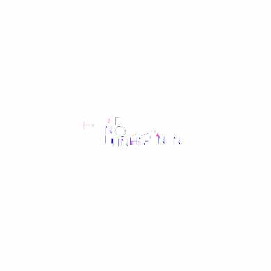 Cc1c(C=C2C(=O)Nc3cc(NC(=O)C(C)O)c(F)cc32)[nH]c2c1C(=O)N(CCN1CCCCC1)CCC2